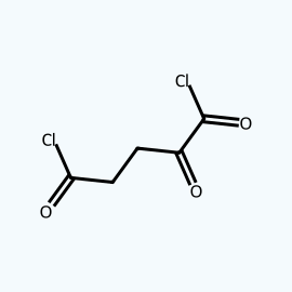 O=C(Cl)CCC(=O)C(=O)Cl